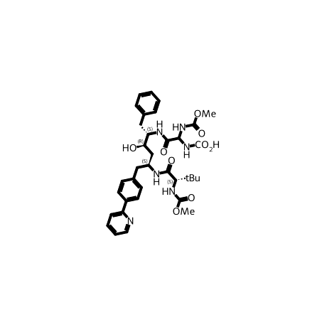 COC(=O)NC(NC(=O)O)C(=O)N[C@@H](Cc1ccccc1)[C@H](O)C[C@H](Cc1ccc(-c2ccccn2)cc1)NC(=O)[C@@H](NC(=O)OC)C(C)(C)C